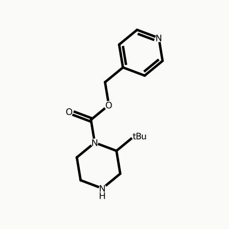 CC(C)(C)C1CNCCN1C(=O)OCc1ccncc1